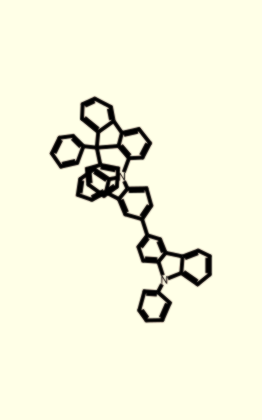 c1ccc(-n2c3ccccc3c3cc(-c4ccc5c(c4)c4ccccc4n5-c4cccc5c4C(c4ccccc4)(c4ccccc4)c4ccccc4-5)ccc32)cc1